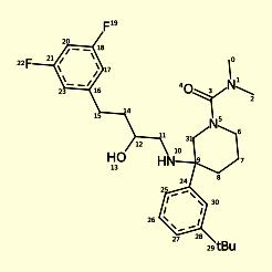 CN(C)C(=O)N1CCCC(NCC(O)CCc2cc(F)cc(F)c2)(c2cccc(C(C)(C)C)c2)C1